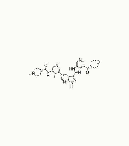 Cc1c(NC(=O)N2CCN(C)CC2)cncc1-c1cnc2[nH]nc(-c3nc4c(C(=O)N5CCOCC5)cncc4[nH]3)c2c1